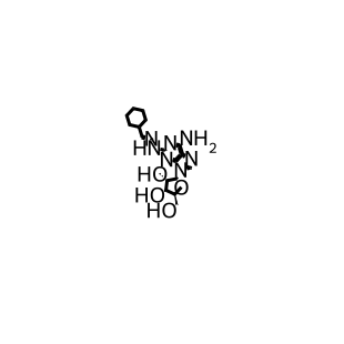 Nc1nc(N/N=C/C2CCCCC2)nc2c1ncn2[C@H]1O[C@@H](CO)[C@H](O)[C@@H]1O